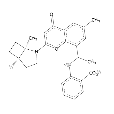 Cc1cc(C(C)Nc2ccccc2C(=O)O)c2oc(N3CC[C@H]4CC[C@]43C)cc(=O)c2c1